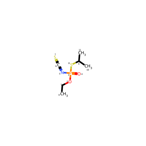 CCOP(=O)(N=C=S)SC(C)C